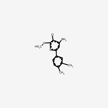 Cc1ccc(-c2cc(N)c(Cl)c(OC(=O)O)n2)cc1C